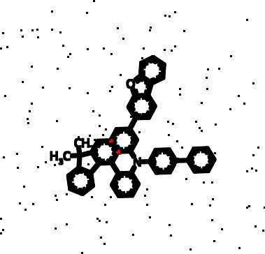 CC1(C)c2ccccc2-c2c(-c3ccccc3N(c3ccc(-c4ccccc4)cc3)c3cccc(-c4ccc5c(c4)oc4ccccc45)c3)cccc21